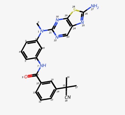 CN(c1cccc(NC(=O)c2cccc(C(C)(C)C#N)c2)c1)c1ncc2nc(N)sc2n1